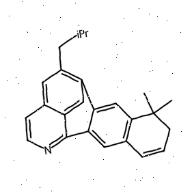 CC(C)Cc1cc2ccnc3c2cc1c1cc2c(cc13)C=CCC2(C)C